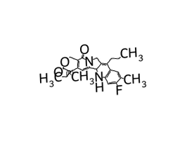 CCCC1=C2Cn3c(cc4c(c3=O)COC(=O)[C@]4(C)CC)C2Nc2cc(F)c(C)cc21